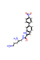 NCCC[C@H](N)CNC(=O)c1cc2ccc(-c3ccc([N+](=O)[O-])cc3)cc2[nH]1